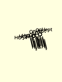 C=C.C=C.C=C.C=C.C=C.C=C.C=C.C=C.C=C.C=C.CCCCCCCC(=O)c1ccccc1Oc1ccccc1C(=O)CCCCCCC.OCCO